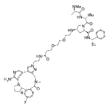 CC[C@H](NC(=O)[C@H]1C[C@@H](NCCOCCOCCC(=O)NCCn2cc3c(n2)CN(C)C(=O)c2ccc(F)cc2[C@H]2CCCN2c2cc-3cnc2N)CN1C(=O)[C@H](NC(=O)[C@@H](C)NC)C(C)(C)C)c1ccccc1